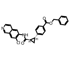 O=C(OCc1ccccc1)c1ccc([C@@H]2C[C@H]2C(=O)Nc2cc3ccncc3cc2Cl)cc1